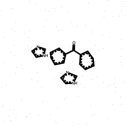 O=C(c1ccccc1)c1ccccc1.c1c[nH]cn1.c1c[nH]cn1